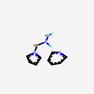 FNN(F)Bn1cccc1.c1ccncc1